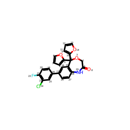 O=C1COC(c2ccco2)(c2ccco2)c2cc(-c3ccc(F)c(Cl)c3)ccc2N1